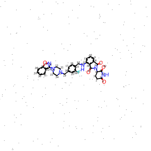 O=C1CCC(N2C(=O)c3cccc(NCc4ccc(CN5CCN(c6noc7ccccc67)CC5)cc4F)c3C2=O)C(=O)N1